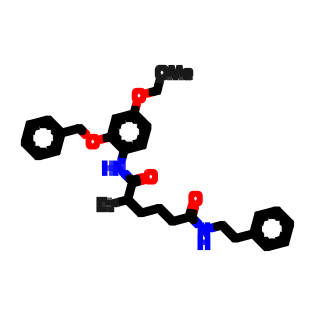 CCC(CCCC(=O)NCCc1ccccc1)C(=O)Nc1ccc(OCOC)cc1OCc1ccccc1